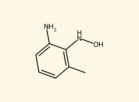 Cc1cccc(N)c1NO